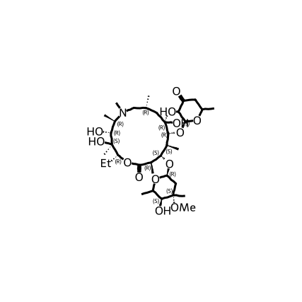 CC[C@H]1OC(=O)[C@H](C)[C@@H](O[C@H]2C[C@](C)(OC)[C@@H](O)C(C)O2)[C@H](C)[C@@H](O[C@@H]2OC(C)CC(=O)C2O)[C@](C)(O)C[C@@H](C)CN(C)[C@H](C)[C@@H](O)[C@]1(C)O